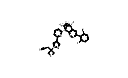 CC1(C)[C@H]2CC[C@]1(c1cccc(-c3cnn(C4(CC#N)COC4)c3)n1)c1nnc(-c3c(F)cccc3F)cc12